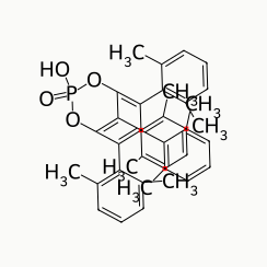 Cc1cccc(C)c1-c1c2c(-c3c(C)cccc3C)c(-c3c(C)cccc3C)c(-c3c(C)cccc3C)c1OP(=O)(O)O2